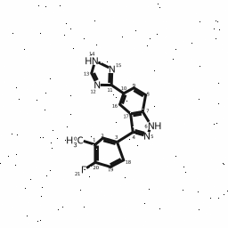 Cc1cc(-c2n[nH]c3ccc(-c4nc[nH]n4)cc23)ccc1F